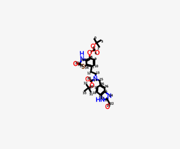 CC(C)(C)OC(=O)Oc1ccc(CCN(Cc2ccc3[nH]c(C=O)nc3c2)C(=O)OC(C)(C)C)c2sc(=O)[nH]c12